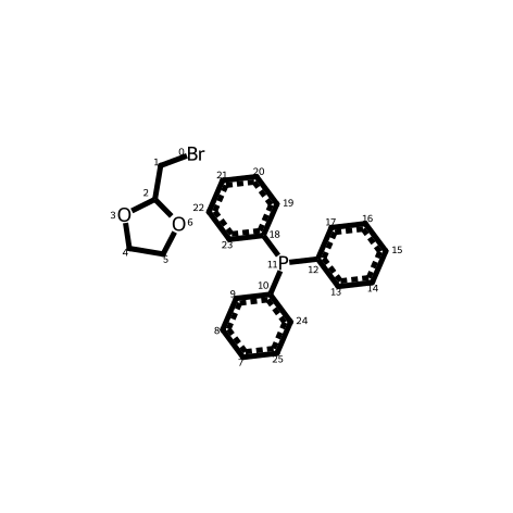 BrCC1OCCO1.c1ccc(P(c2ccccc2)c2ccccc2)cc1